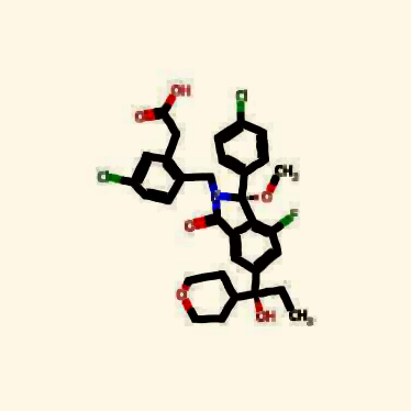 CC[C@@](O)(c1cc(F)c2c(c1)C(=O)N(Cc1ccc(Cl)cc1CC(=O)O)[C@@]2(OC)c1ccc(Cl)cc1)C1CCOCC1